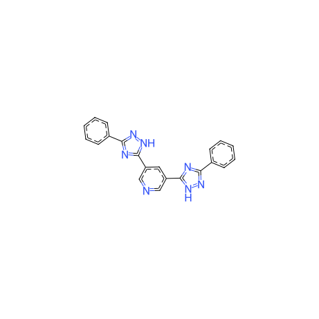 c1ccc(-c2n[nH]c(-c3cncc(-c4nc(-c5ccccc5)n[nH]4)c3)n2)cc1